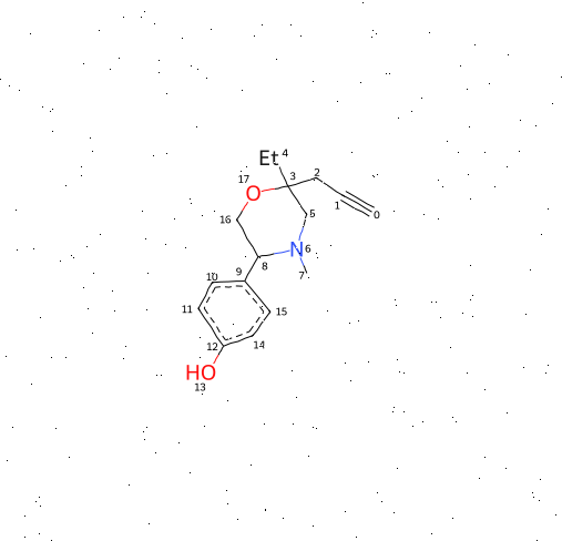 C#CCC1(CC)CN(C)C(c2ccc(O)cc2)CO1